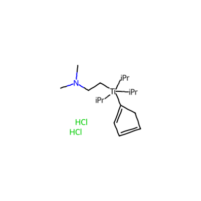 C[CH](C)[Ti]([CH2]CN(C)C)([C]1=CC=CC1)([CH](C)C)[CH](C)C.Cl.Cl